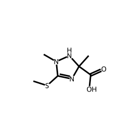 CSC1=NC(C)(C(=O)O)NN1C